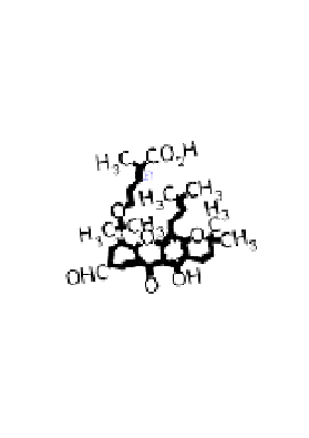 CC(C)=CCc1c2c(c(O)c3c1OC1C(=CC(C=O)C[C@@H]1C(C)(C)OCC/C=C(\C)C(=O)O)C3=O)C=CC(C)(C)O2